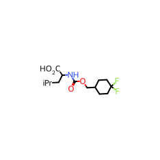 CC(C)CC(NC(=O)OCC1CCC(F)(F)CC1)C(=O)O